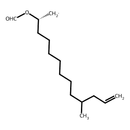 [CH2][C@H](CCCCCCCC(C)CC=C)OC=O